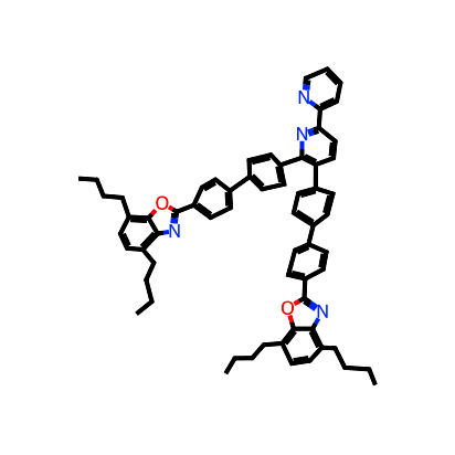 CCCCc1ccc(CCCC)c2oc(-c3ccc(-c4ccc(-c5ccc(-c6ccccn6)nc5-c5ccc(-c6ccc(-c7nc8c(CCCC)ccc(CCCC)c8o7)cc6)cc5)cc4)cc3)nc12